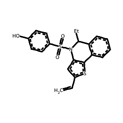 C=Cc1cc2c(s1)-c1ccccc1C(CC)N2S(=O)(=O)c1ccc(O)cc1